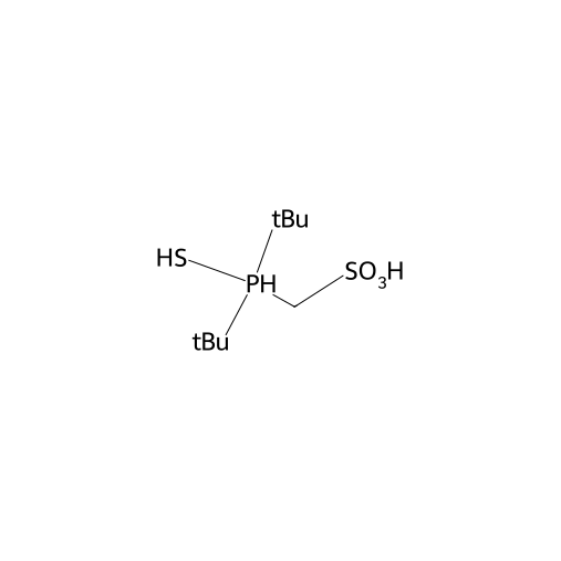 CC(C)(C)[PH](S)(CS(=O)(=O)O)C(C)(C)C